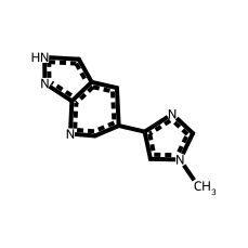 Cn1cnc(-c2cnc3n[nH]cc3c2)c1